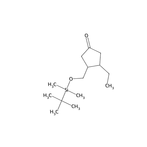 CCC1CC(=O)CC1CO[Si](C)(C)C(C)(C)C